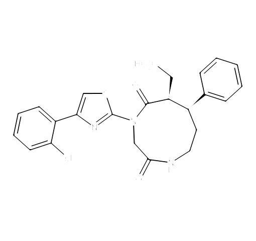 O=C(O)C[C@@H]1C(=O)N(c2nc(-c3ccccc3Cl)cs2)CC(=O)NCC[C@@H]1c1ccccc1